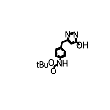 CC(C)(C)OC(=O)Nc1ccc(Cc2cc(O)ncn2)cc1